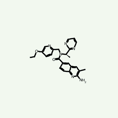 CCOc1ccc(CN(C(=O)c2ccc3nc(N)c(C)cc3c2)[C@H](C)c2ncccn2)nc1